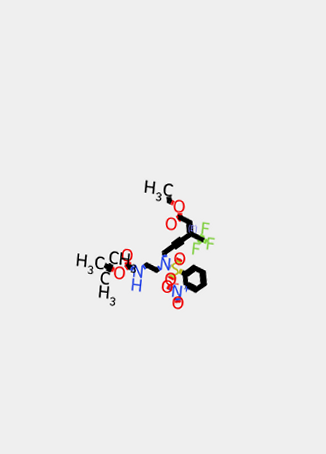 CCOC(=O)/C=C(\C#CCN(CCNC(=O)OC(C)(C)C)S(=O)(=O)c1ccccc1[N+](=O)[O-])C(F)(F)F